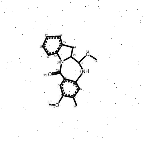 COc1cc2c(cc1C)NC(OC)C1Cc3ccccc3N1C2=O